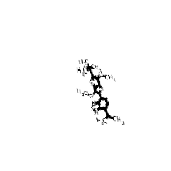 COc1c(-c2ccc(C(C)C)c3nsnc23)sc2c(OC)c(C(C)(C)C)sc12